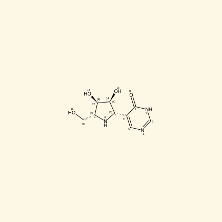 O=c1[nH]cncc1[C@@H]1N[C@H](CO)[C@@H](O)[C@H]1O